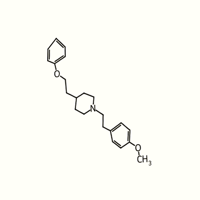 COc1ccc(CCN2CCC(CCOc3ccccc3)CC2)cc1